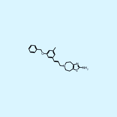 Cc1cc(/C=C/CN2CCc3nc(N)sc3CC2)cc(OCc2ccccc2)c1